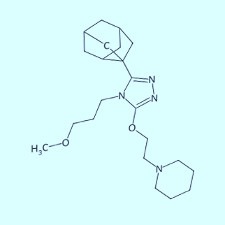 COCCCn1c(OCCN2CCCCC2)nnc1C12CC3CC(CC1C3)C2